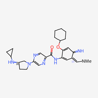 CN/C=C1/C=C(NC(=O)c2cnc(N3CC[C@@H](NC4CC4)C3)cn2)C(OC2CCCCC2)=CC1=N